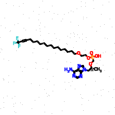 C[C@H](Cn1cnc2c(N)ncnc21)OCP(=O)(O)OCCOCCCCCCCCCCCCCCC#CC(F)(F)F